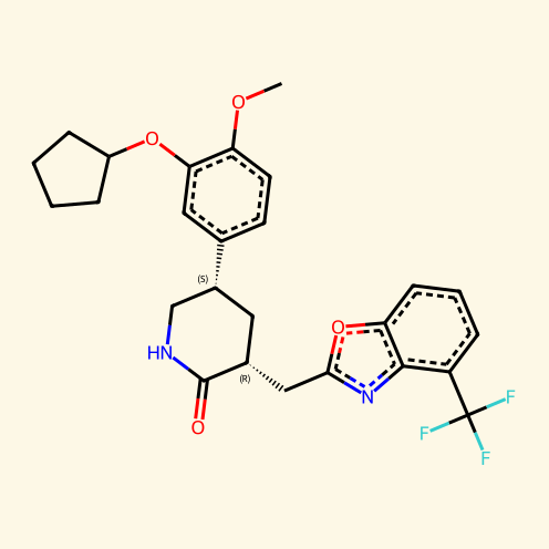 COc1ccc([C@H]2CNC(=O)[C@@H](Cc3nc4c(C(F)(F)F)cccc4o3)C2)cc1OC1CCCC1